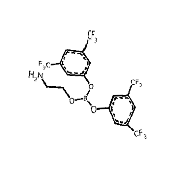 NCCOB(Oc1cc(C(F)(F)F)cc(C(F)(F)F)c1)Oc1cc(C(F)(F)F)cc(C(F)(F)F)c1